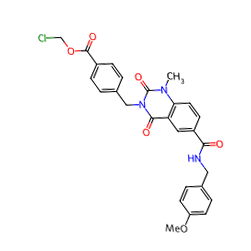 COc1ccc(CNC(=O)c2ccc3c(c2)c(=O)n(Cc2ccc(C(=O)OCCl)cc2)c(=O)n3C)cc1